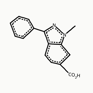 Cn1nc(-c2ccccc2)c2ccc(C(=O)O)cc21